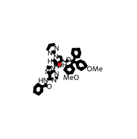 COc1ccc(C(OC[C@@]23CN(c4ncccn4)[C@@H]([C@H](n4cnc5c(NC(=O)c6ccccc6)ncnc54)O2)[C@@H]3O)(c2ccccc2)c2ccc(OC)cc2)cc1